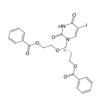 O=C(OCCO[C@@H](CCOC(=O)c1ccccc1)n1cc(I)c(=O)[nH]c1=O)c1ccccc1